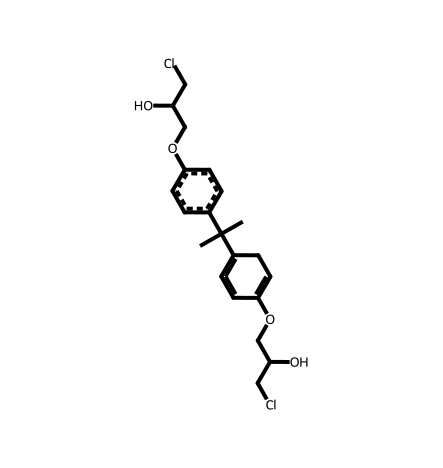 CC(C)(C1=C=CC(OCC(O)CCl)=CC1)c1ccc(OCC(O)CCl)cc1